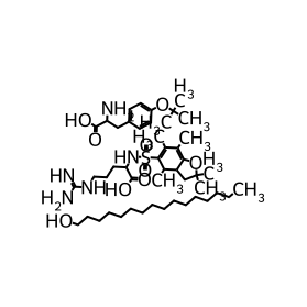 CC(C)(C)Oc1ccc(CC(N)C(=O)O)cc1.CC1=C2OC(C)(C)CC2C(C)C(S(=O)(=O)NC(CCCNC(=N)N)C(=O)O)=C1C.CCCCCCCCCCCCCCCCO